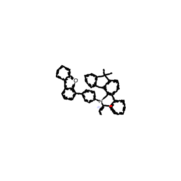 C=C/C(=C\C)N(c1ccc(-c2cccc3c2oc2ccccc23)cc1)c1c(-c2ccccc2)ccc2c1-c1ccccc1C2(C)C